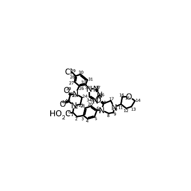 O=C(O)C(Cc1ccc(N2CCN(C3CCCOC3)CC2=O)cc1)N1CCN(c2cc(Cl)ccc2-n2cnnn2)C(=O)C1=O